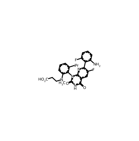 CC(C)c1cccc(N(C)CCC(=O)O)c1-n1c(=O)[nH]c(=O)c2cc(F)c(-c3c(N)cccc3F)nc21